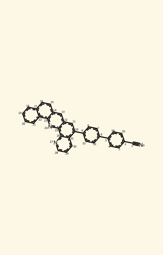 N#Cc1ccc(-c2ccc(-c3cc4cc5ccc6ccccc6c5nc4c4ncccc34)cc2)cc1